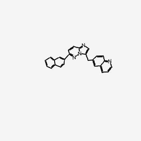 c1ccc2cc(-c3ccc4ncc(Cc5ccc6ncccc6c5)n4n3)ccc2c1